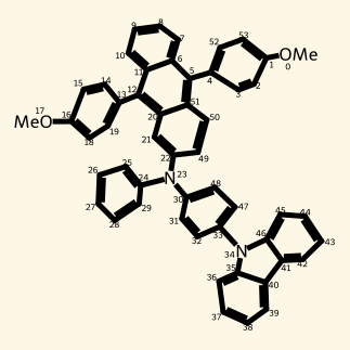 COc1ccc(-c2c3ccccc3c(-c3ccc(OC)cc3)c3cc(N(c4ccccc4)c4ccc(-n5c6ccccc6c6ccccc65)cc4)ccc23)cc1